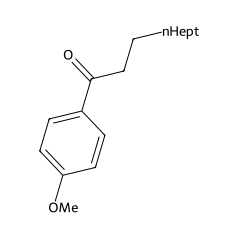 [CH2]CCCCCCCCC(=O)c1ccc(OC)cc1